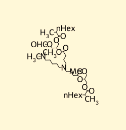 CCCCCCC(C)C(=O)OCC(COC)OC(=O)CCCN(CCCCCN(C)C)CCCC(=O)OC(COC=O)COC(=O)C(C)CCCCCC